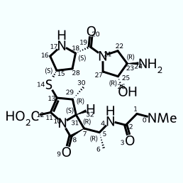 CNCC(=O)N[C@H](C)[C@H]1C(=O)N2C(C(=O)O)=C(S[C@@H]3CN[C@H](C(=O)N4C[C@@H](N)[C@H](O)C4)C3)[C@H](C)[C@H]12